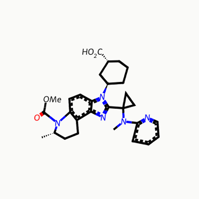 COC(=O)N1c2ccc3c(nc(C4(N(C)c5ccccn5)CC4)n3[C@@H]3CCC[C@@H](C(=O)O)C3)c2CC[C@@H]1C